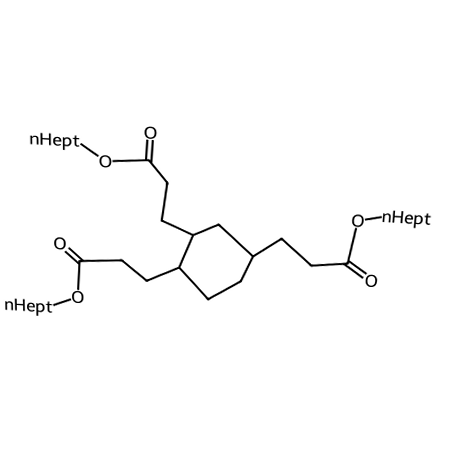 CCCCCCCOC(=O)CCC1CCC(CCC(=O)OCCCCCCC)C(CCC(=O)OCCCCCCC)C1